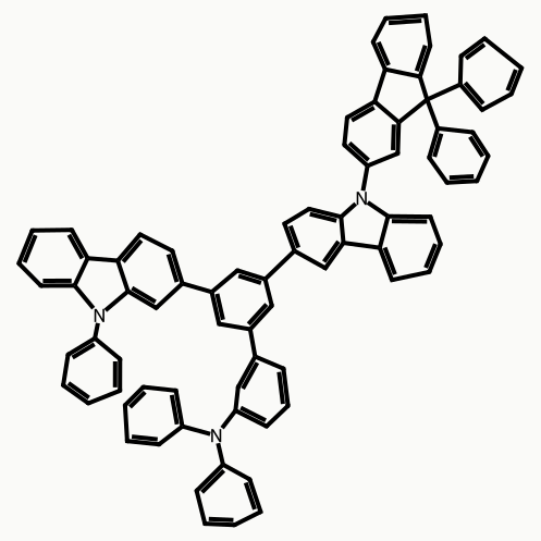 c1ccc(N(c2ccccc2)c2cccc(-c3cc(-c4ccc5c(c4)c4ccccc4n5-c4ccc5c(c4)C(c4ccccc4)(c4ccccc4)c4ccccc4-5)cc(-c4ccc5c6ccccc6n(-c6ccccc6)c5c4)c3)c2)cc1